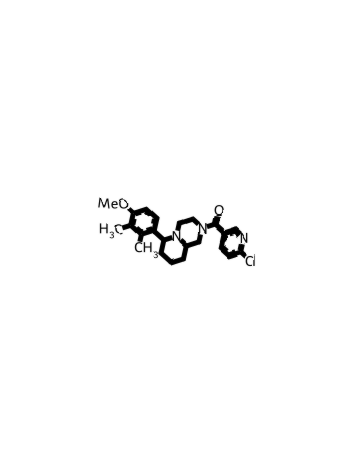 COc1ccc(C2CCCC3CN(C(=O)c4ccc(Cl)nc4)CCN32)c(C)c1C